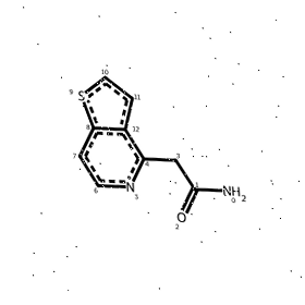 NC(=O)Cc1nccc2sccc12